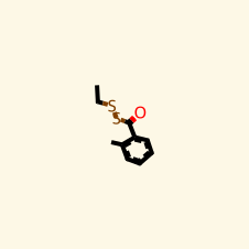 CCSSC(=O)c1ccccc1C